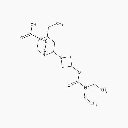 CCN(CC)C(=O)OC1CN(C2CC3(CC)CCC2CN3C(=O)O)C1